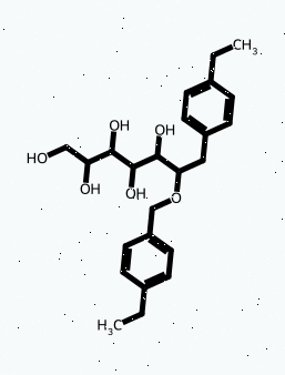 CCc1ccc(COC(Cc2ccc(CC)cc2)C(O)C(O)C(O)C(O)CO)cc1